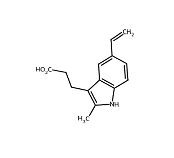 C=Cc1ccc2[nH]c(C)c(CCC(=O)O)c2c1